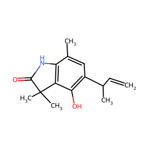 C=CC(C)c1cc(C)c2c(c1O)C(C)(C)C(=O)N2